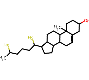 CC(S)CCCC(S)C1CCC2C1CCC1C2CC=C2CC(O)CCC21C